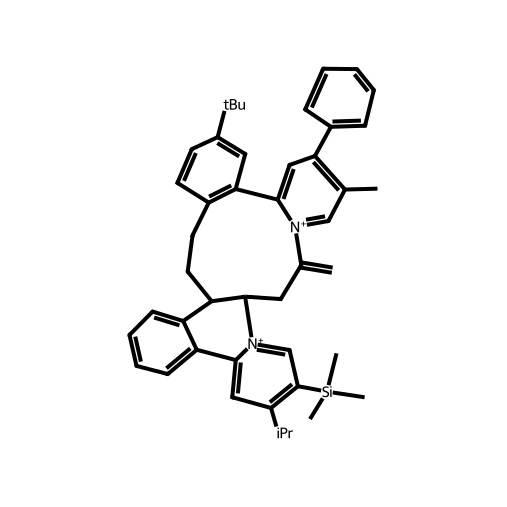 C=C1CC2C(CCc3ccc(C(C)(C)C)cc3-c3cc(-c4ccccc4)c(C)c[n+]31)c1ccccc1-c1cc(C(C)C)c([Si](C)(C)C)c[n+]12